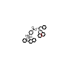 O=C(OC[C@H](Cc1ccccc1)N(Cc1ccccc1)Cc1ccccc1)N1CCC(NS(=O)(=O)c2c(-c3ccccc3)ccc3ccccc23)CC1